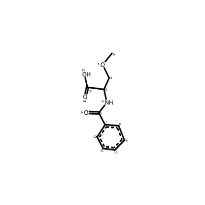 COCC(NC(=O)c1ccccc1)C(=O)O